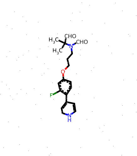 CC(C)(C=O)N(C=O)CCCOc1ccc(C2=CCNC=C2)c(F)c1